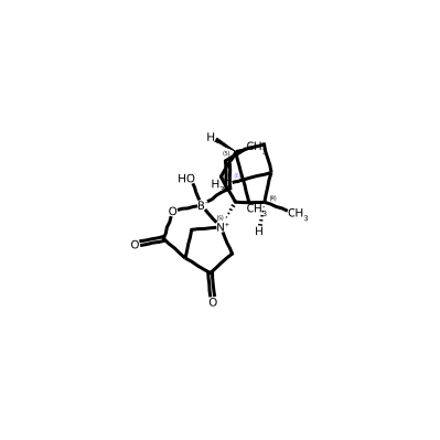 C/C=C/[B-]1(O)OC(=O)C2C[N@+]1(C1C[C@@H]3CC([C@H]1C)C3(C)C)CC2=O